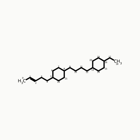 CC=CCCC1CCC(CCCCC2CCC(CC)CC2)CC1